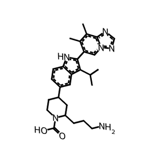 Cc1c(-c2[nH]c3ccc(C4CCN(C(=O)O)C(CCCN)C4)cc3c2C(C)C)cn2ncnc2c1C